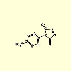 C=C1C=CC(=O)N1c1ccc(C(=O)O)cc1